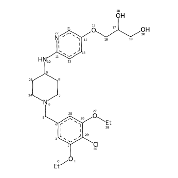 CCOc1cc(CN2CCC(Nc3ccc(OCC(O)CO)cn3)CC2)cc(OCC)c1Cl